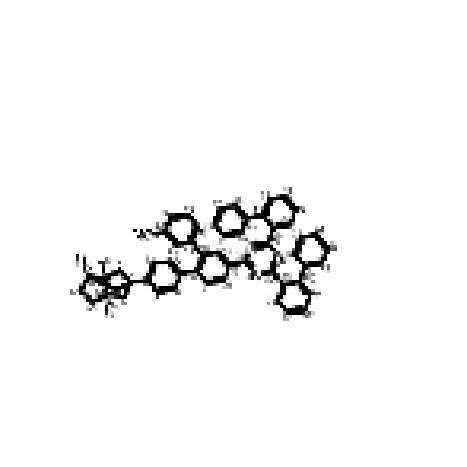 C[C@@]12CC3(c4ccc(-c5ccc(-c6nc(-c7ccccc7-c7ccccc7)nc(-c7ccccc7-c7ccccc7)n6)cc5-c5cccc(C#N)c5)cc4)C[C@H]1CC[C@H]2C3